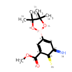 COC(=O)C1=CC(B2OC(C)(C)C(C)(C)O2)=CC(=N)C1=S